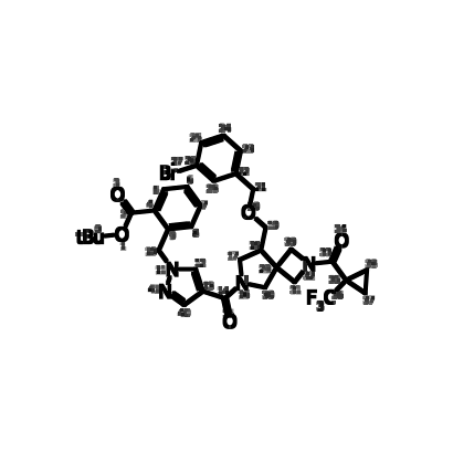 CC(C)(C)OC(=O)c1ccccc1Cn1cc(C(=O)N2CC(COCc3cccc(Br)c3)C3(C2)CN(C(=O)C2(C(F)(F)F)CC2)C3)cn1